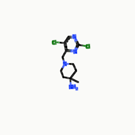 CC1(N)CCN(Cc2nc(Cl)ncc2Cl)CC1